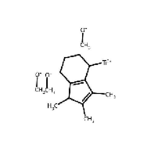 CC1=C(C)C(C)C2=C1[CH]([Ti+3])CCC2.C[O-].C[O-].C[O-]